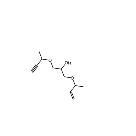 C#CC(C)OCC(O)COC(C)C=C